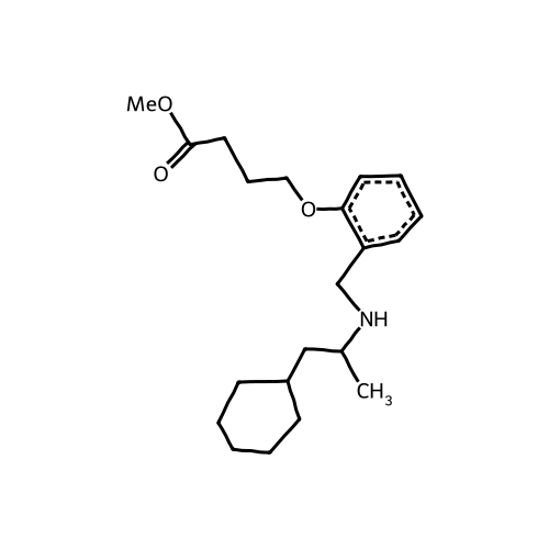 COC(=O)CCCOc1ccccc1CNC(C)CC1CCCCC1